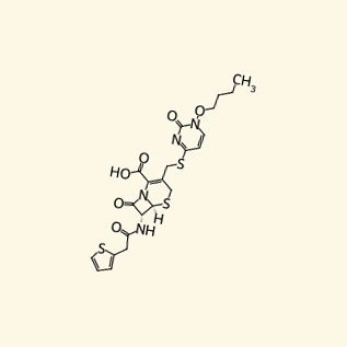 CCCCOn1ccc(SCC2=C(C(=O)O)N3C(=O)[C@@H](NC(=O)Cc4cccs4)[C@@H]3SC2)nc1=O